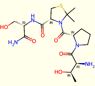 C[C@@H](O)[C@H](N)C(=O)N1CCC[C@H]1C(=O)N1[C@H](C(=O)N[C@@H](CO)C(N)=O)CSC1(C)C